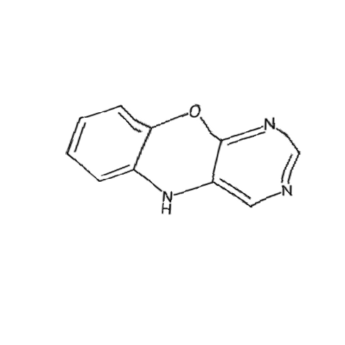 c1ccc2c(c1)Nc1cncnc1O2